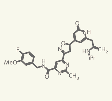 C=C(Cc1cc(C2CC(c3cc(C(=O)NCc4ccc(F)c(OC)c4)nc(C)n3)=NO2)cc(=O)[nH]1)NC(C)C